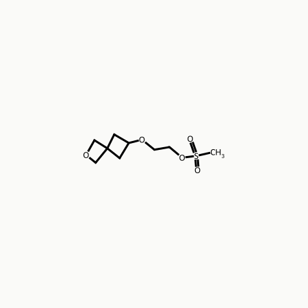 CS(=O)(=O)OCCOC1CC2(COC2)C1